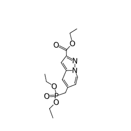 CCOC(=O)c1cc2cc(CP(=O)(OCC)OCC)ccn2n1